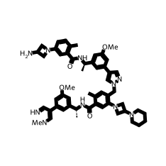 CN/C=C(\C=N)c1cc(OC)cc([C@@H](C)NC(=O)c2cc(N3CC(N4CCCCC4)C3)c(Cn3cc(-c4cc(OC)cc([C@@H](C)NC(=O)c5cc(N6CC(N)C6)ccc5C)c4)cn3)cc2C)c1